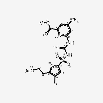 COC(=O)c1cc(C(F)(F)F)cc(NC(=O)NS(=O)(=O)c2cc(C)c(CCOC(C)=O)s2)n1